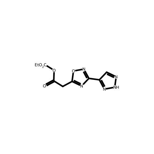 CCOC(=O)OC(=O)Cc1nc(-c2cn[nH]n2)no1